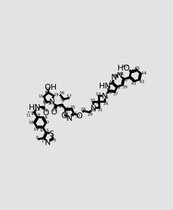 Cc1ncsc1-c1ccc([C@H](C)NC(=O)[C@@H]2C[C@@H](O)CN2C(=O)[C@@H](c2cc(OCCN3CC4(C3)CN(c3cc5cc(-c6ccccc6O)nnc5[nH]3)C4)no2)C(C)C)cc1